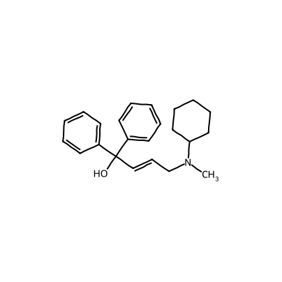 CN(CC=CC(O)(c1ccccc1)c1ccccc1)C1CCCCC1